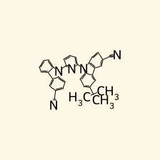 CC(C)(C)c1ccc2c(c1)c1cc(C#N)ccc1n2-c1cccc(-n2c3ccccc3c3cc(C#N)ccc32)n1